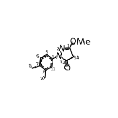 COC1=NN(c2ccc(C)c(C)c2)C(=O)C1